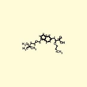 CCCOC(Cc1ccc2c(ccn2COCC[Si](C)(C)C)c1)C(=O)O